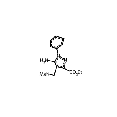 CCOC(=O)c1nn(-c2ccccc2)c(N)c1CNC